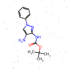 CC(C)(C)OC(=O)Nc1nn(-c2ccccc2)cc1N